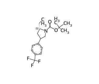 CC[C@H]1CC(c2ccc(C(F)(F)F)cc2)CN1C(=O)OC(C)(C)C